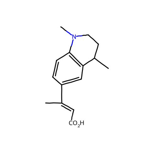 CC(=CC(=O)O)c1ccc2c(c1)C(C)CCN2C